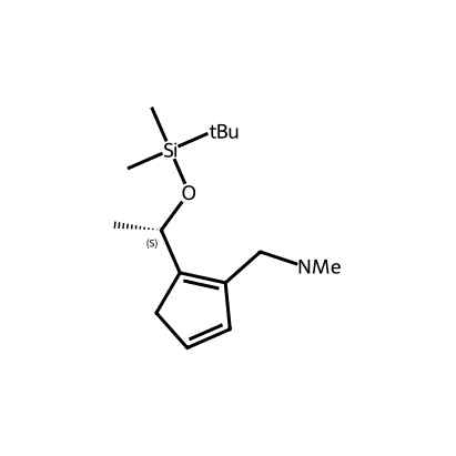 CNCC1=C([C@H](C)O[Si](C)(C)C(C)(C)C)CC=C1